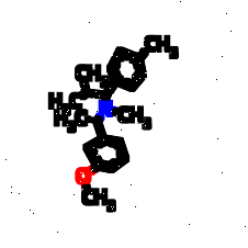 COc1cccc([C@H](C)N(C)C(c2ccc(C)cc2)C(C)C)c1